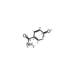 C/C=C(\C=C/C(C)=O)C(N)=O